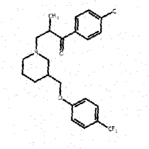 CC(CN1CCCC(COc2ccc(C(F)(F)F)cc2)C1)C(=O)c1ccc(Cl)cc1